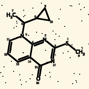 CSc1nc2n(C(C)C3CC3)cccc-2c(=O)n1